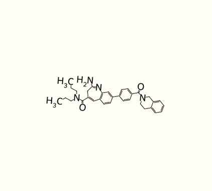 CCCN(CCC)C(=O)C1=Cc2ccc(-c3ccc(C(=O)N4CCc5ccccc5C4)cc3)cc2N=C(N)C1